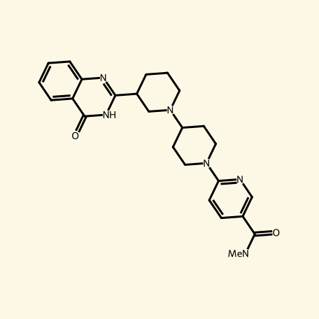 CNC(=O)c1ccc(N2CCC(N3CCCC(c4nc5ccccc5c(=O)[nH]4)C3)CC2)nc1